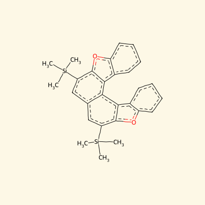 C[Si](C)(C)c1cc2cc([Si](C)(C)C)c3oc4ccccc4c3c2c2c1oc1ccccc12